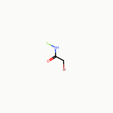 O=C(CBr)NF